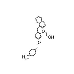 CN1CCN(CCOc2ccc(Cc3c(OCCO)ccc4ccccc34)cc2)CC1